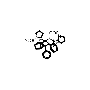 O=C([O-])N1CCC[C@H]1C(=O)[N+]1(CC(c2ccccc2)[N+]2(C(=O)[C@@H]3CCCN3C(=O)[O-])C3=CC=C2C=C3)C2=CC=C1C=C2